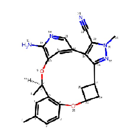 Cc1ccc2c(c1)[C@@H](C)Oc1cc(cnc1N)-c1c(nn(C)c1C#N)C1CC(C1)O2